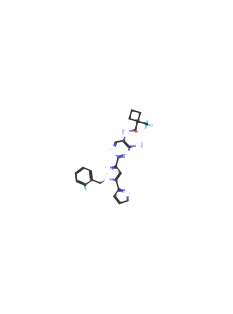 Nc1nc(-c2cc(C3=NCC=C3)n(Cc3ccccc3F)n2)ncc1NC(=O)C1(C(F)(F)F)CCC1